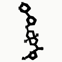 CC(=O)c1ccn(C(=O)N2C[C@H]3C[C@H](Oc4cccc(-c5ccnnc5)c4)C[C@H]3C2)n1